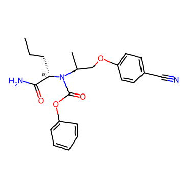 CCC[C@@H](C(N)=O)N(C(=O)Oc1ccccc1)C(C)COc1ccc(C#N)cc1